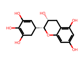 OC1=CC([C@H]2Oc3cc(O)cc(O)c3C[C@H]2O)CC(O)=C1O